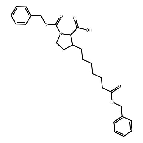 O=C(CCCCCCC1CCN(C(=O)OCc2ccccc2)C1C(=O)O)OCc1ccccc1